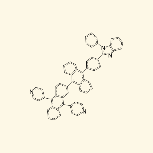 c1ccc(-n2c(-c3ccc(-c4c5ccccc5c(-c5ccc6c(-c7ccncc7)c7ccccc7c(-c7ccncc7)c6c5)c5ccccc45)cc3)nc3ccccc32)cc1